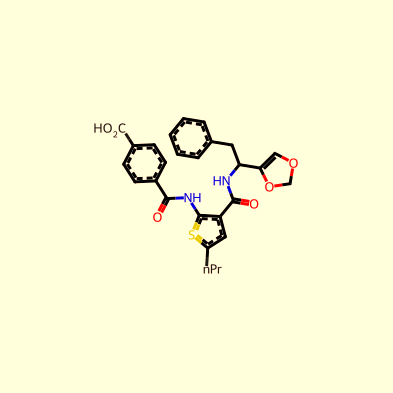 CCCc1cc(C(=O)NC(Cc2ccccc2)C2=COCO2)c(NC(=O)c2ccc(C(=O)O)cc2)s1